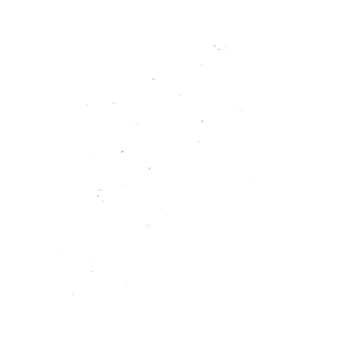 CC(Oc1cccc(Oc2ncc(C(F)(F)F)cc2Cl)c1)C(=O)C(C#N)c1ccc(Cl)c(Cl)c1